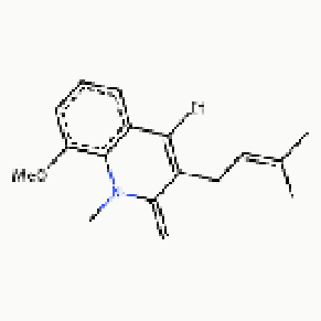 C=C1C(CC=C(C)C)=C(CC)c2cccc(OC)c2N1C